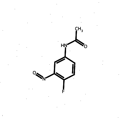 CC(=O)Nc1ccc(F)c(N=O)c1